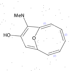 CNC1=C(O)C=C2\C=C/C=C\C=C\1O2